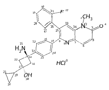 Cl.Cn1c(=O)ccc2nc(-c3ccc([C@]4(N)C[C@@](O)(C5CC5)C4)cc3)c(-c3ccccc3F)cc21